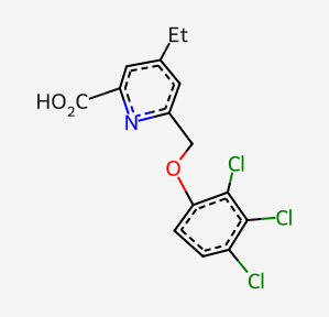 CCc1cc(COc2ccc(Cl)c(Cl)c2Cl)nc(C(=O)O)c1